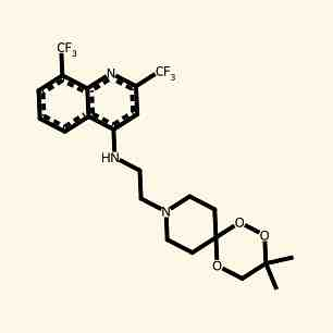 CC1(C)COC2(CCN(CCNc3cc(C(F)(F)F)nc4c(C(F)(F)F)cccc34)CC2)OO1